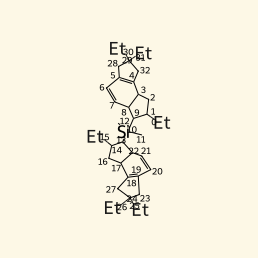 CCC1CC2C3=C(C=CC2C1[Si](C)(C)C1C(CC)CC2C4=C(C=CC21)CC(CC)(CC)C4)CC(CC)(CC)C3